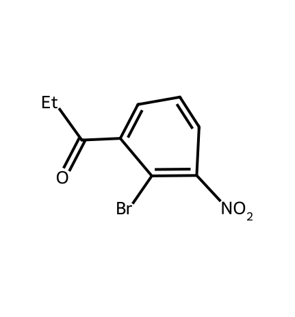 CCC(=O)c1cccc([N+](=O)[O-])c1Br